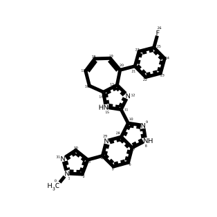 Cn1cc(-c2ccc3[nH]nc(-c4nc5c([nH]4)CC=CC=C5c4cccc(F)c4)c3n2)cn1